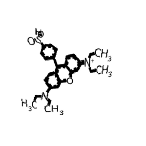 CCN(CC)c1ccc2c(-c3ccc([SH](=O)=O)cc3)c3ccc(=[N+](CC)CC)cc-3oc2c1